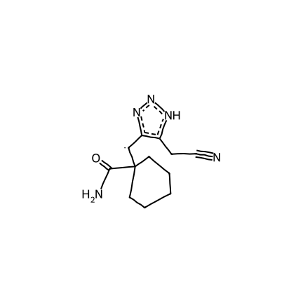 N#CCc1[nH]nnc1[CH]C1(C(N)=O)CCCCC1